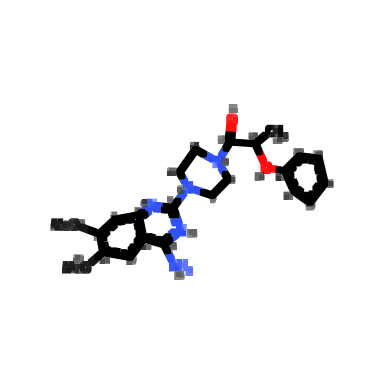 COc1cc2nc(N3CCN(C(=O)C(C)Oc4ccccc4)CC3)nc(N)c2cc1OC